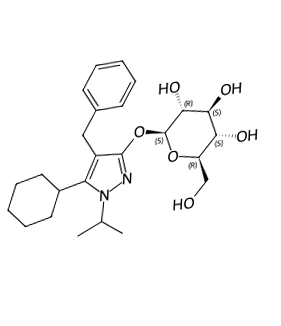 CC(C)n1nc(O[C@@H]2O[C@H](CO)[C@@H](O)[C@H](O)[C@H]2O)c(Cc2ccccc2)c1C1CCCCC1